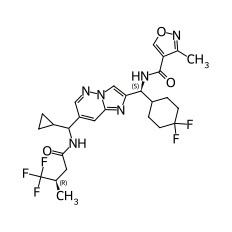 Cc1nocc1C(=O)N[C@H](c1cn2ncc(C(NC(=O)C[C@@H](C)C(F)(F)F)C3CC3)cc2n1)C1CCC(F)(F)CC1